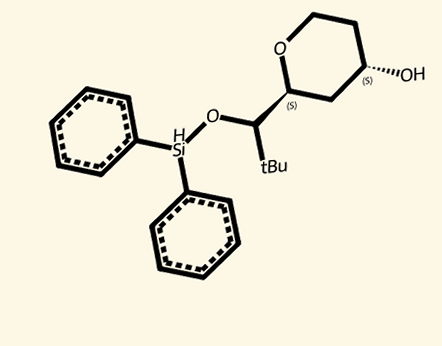 CC(C)(C)C(O[SiH](c1ccccc1)c1ccccc1)[C@@H]1C[C@@H](O)CCO1